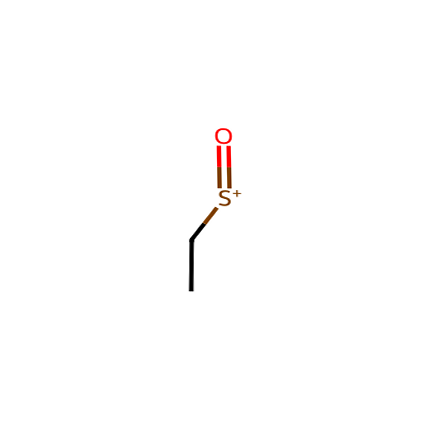 CC[S+]=O